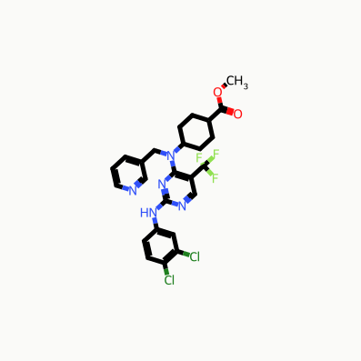 COC(=O)C1CCC(N(Cc2cccnc2)c2nc(Nc3ccc(Cl)c(Cl)c3)ncc2C(F)(F)F)CC1